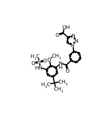 COc1c(NC(=O)c2cccc(-n3cc(C(=O)O)nn3)c2)cc(C(C)(C)C)cc1NS(C)(=O)=O